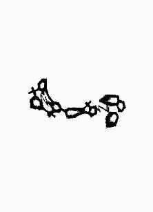 CC1(C)c2cc(-c3cc4c5c(c3)c3cccc6c3n5-c3c(cccc3C4(C)C)C6(C)C)ccc2-c2ccc(N(c3ccccc3)c3cccc4ccccc34)cc21